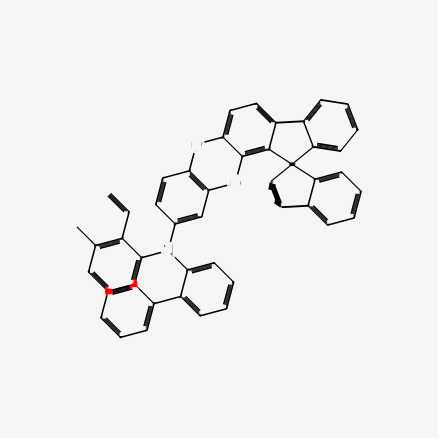 C=Cc1c(C)cccc1N(c1ccc2c(c1)Oc1c(ccc3c1C1(c4ccccc4-c4ccccc41)c1ccccc1-3)O2)c1ccccc1-c1ccccc1